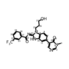 Cn1cncc(-c2ccc3c(c2)[nH]/c(=N\C(=O)c2cccc(C(F)(F)F)c2)n3CCCO)c1=O